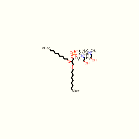 CCCCCCCCCCCCCCCCCCOCC(COP(=O)([O-])[O-])OCCCCCCCCCCCCCCCCCC.C[N+](C)(C)CCO.C[N+](C)(C)CCO